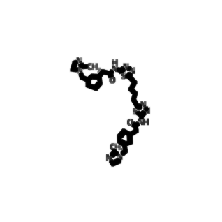 Cc1nccn1Cc1cccc(CC(=O)Nc2nnc(CCCCc3nnc(NC(=O)Cc4cccc(Cn5ccnc5C)c4)s3)s2)c1